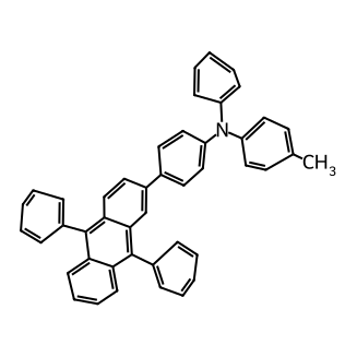 Cc1ccc(N(c2ccccc2)c2ccc(-c3ccc4c(-c5ccccc5)c5ccccc5c(-c5ccccc5)c4c3)cc2)cc1